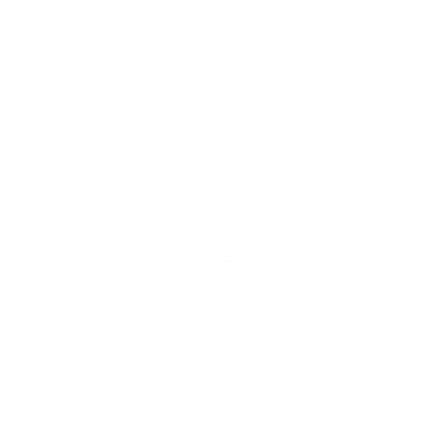 CCCCCC1CC=C(c2ccc(OC)c(F)c2F)CC1